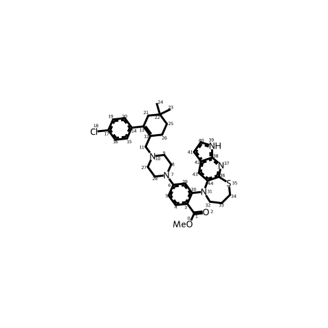 COC(=O)c1ccc(N2CCN(CC3=C(c4ccc(Cl)cc4)CC(C)(C)CC3)CC2)cc1N1CCCSc2nc3[nH]ccc3cc21